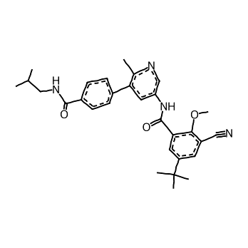 COc1c(C#N)cc(C(C)(C)C)cc1C(=O)Nc1cnc(C)c(-c2ccc(C(=O)NCC(C)C)cc2)c1